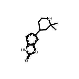 CC1(C)CC(c2ccc3[nH]c(=O)oc3c2)CCN1